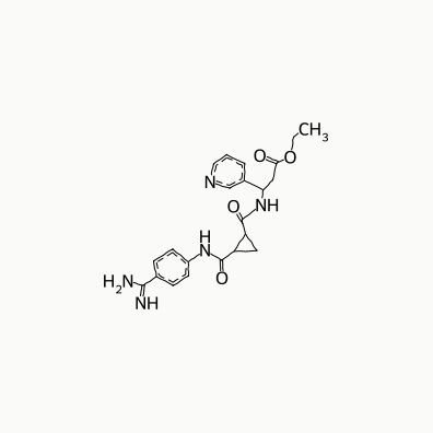 CCOC(=O)CC(NC(=O)C1CC1C(=O)Nc1ccc(C(=N)N)cc1)c1cccnc1